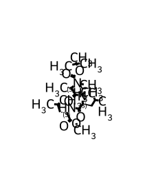 COC(=O)[C@H](CC(C)C)NC(=O)[C@H](CC(C)C)N(C)C(=O)[C@H](C)N(C)C(=O)OC(C)(C)C